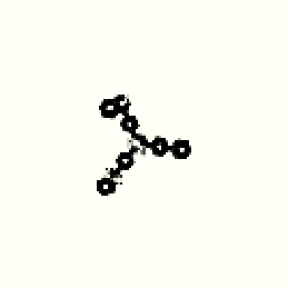 c1ccc(-c2ccc(-c3cc(-c4ccc(-c5cncc6ccccc56)cc4)nc(-c4ccc(-c5nc6ccccc6o5)cc4)n3)cc2)cc1